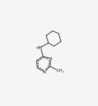 Cc1nccc(NC2CC[CH]CC2)n1